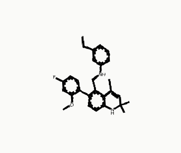 CCc1cccc(NCc2c(-c3ccc(F)cc3OC)ccc3c2C(C)=CC(C)(C)N3)c1